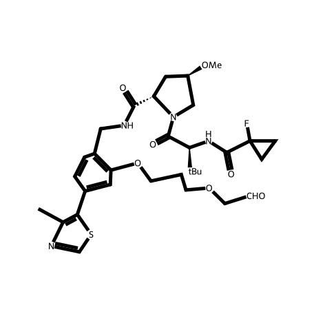 CO[C@@H]1C[C@@H](C(=O)NCc2ccc(-c3scnc3C)cc2OCCCOCC=O)N(C(=O)[C@@H](NC(=O)C2(F)CC2)C(C)(C)C)C1